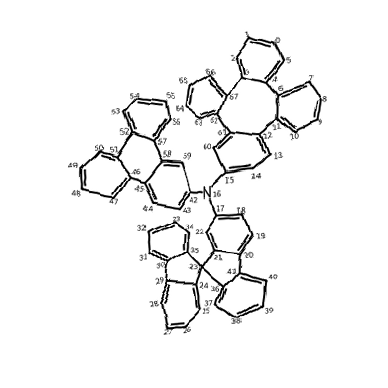 c1ccc2c(c1)-c1ccccc1-c1ccc(N(c3ccc4c(c3)C3(c5ccccc5-c5ccccc53)c3ccccc3-4)c3ccc4c5ccccc5c5ccccc5c4c3)cc1-c1ccccc1-2